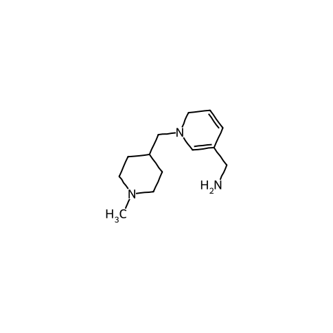 CN1CCC(CN2C=C(CN)C=CC2)CC1